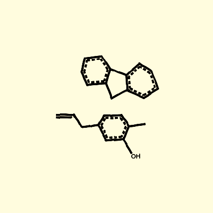 C=CCc1ccc(C)c(O)c1.c1ccc2c(c1)Cc1ccccc1-2